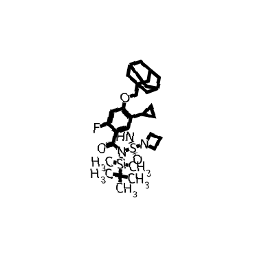 CC(C)(C)[Si](C)(C)N(C(=O)c1cc(C2CC2)c(OCC23CC4CC(CC(C4)C2)C3)cc1F)S(=N)(=O)N1CCC1